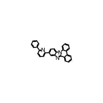 c1ccc(-c2cccc(-c3ccc4c(c3)nc3c5ccccc5c5ccccc5n43)n2)cc1